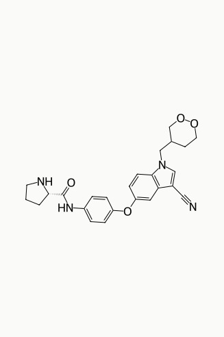 N#Cc1cn(CC2CCOOC2)c2ccc(Oc3ccc(NC(=O)[C@@H]4CCCN4)cc3)cc12